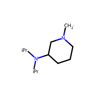 [CH2]N1CCCC(N(C(C)C)C(C)C)C1